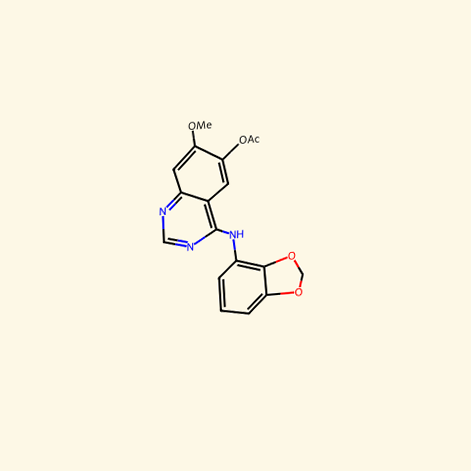 COc1cc2ncnc(Nc3cccc4c3OCO4)c2cc1OC(C)=O